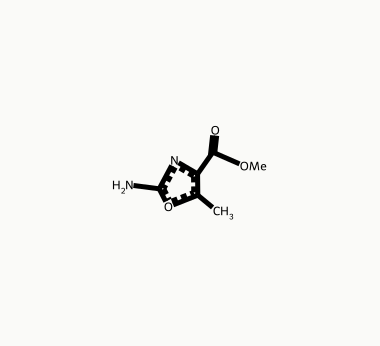 COC(=O)c1nc(N)oc1C